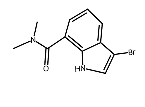 CN(C)C(=O)c1cccc2c(Br)c[nH]c12